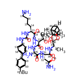 CCCCc1ccc(-c2ccc(NC(=O)N[C@@H](CCCCN)C(=O)N[C@H](C(=O)N[C@@H](N)C(=O)N[C@@H](CC(N)=O)C(=O)N[C@@H](C)B3OC4C[C@@H]5C[C@@H](C5(C)C)[C@]4(C)O3)[C@@H](C)O)cc2)cc1